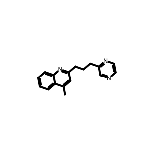 Cc1cc(CCCc2cnccn2)nc2ccccc12